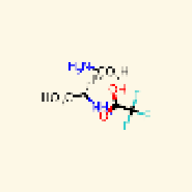 CC(C)[C@H](N)C(=O)O.NC(=O)O.O=C(O)C(F)(F)F